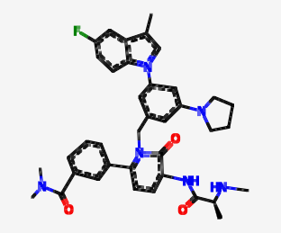 CN[C@@H](C)C(=O)Nc1ccc(-c2cccc(C(=O)N(C)C)c2)n(Cc2cc(N3CCCC3)cc(-n3cc(C)c4cc(F)ccc43)c2)c1=O